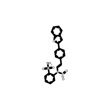 NS(=O)(=O)c1ccccc1N(C=Cc1ccc(-c2cc3ccccc3o2)cc1)[SH](=O)=O